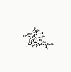 CCCC(CC)CCC(C)[CH2][Al-]([CH2]C(C)CCC(CC)CCC)([CH2]C(C)CCC(CC)CCC)[CH2]C(C)CCC(CC)CCC.CCCCCCCCC[NH2+]CCC(CC)CCCC.Cc1c(F)c(F)c(F)c(C(F)(F)F)c1-c1c(F)c(F)c(F)c(F)c1F